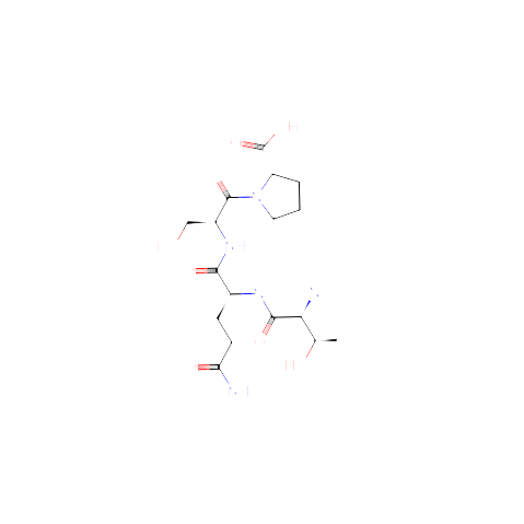 C[C@@H](O)[C@H](N)C(=O)N[C@@H](CCC(N)=O)C(=O)N[C@@H](CO)C(=O)N1CCC[C@H]1C(=O)O